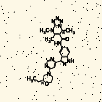 CC[C@H]1CN(c2cc(-c3n[nH]c4ccc(NC(=O)C5=C(C)N(C)c6nnnn6[C@H]5C)cc34)ncn2)CCO1